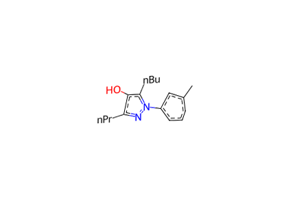 CCCCc1c(O)c(CCC)nn1-c1cccc(C)c1